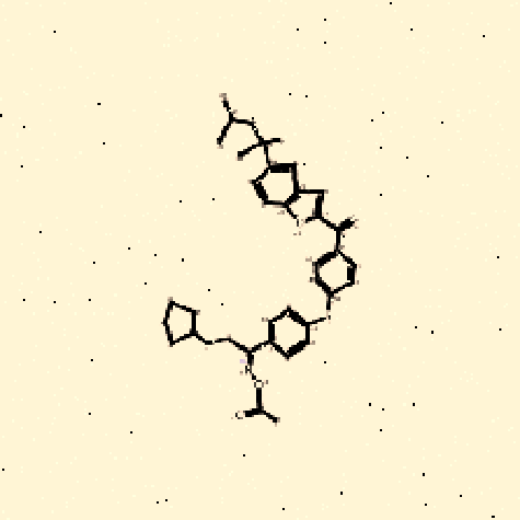 CC(=O)O/N=C(/CCC1CCCC1)c1ccc(Sc2ccc(C(=O)c3cc4cc(C(C)(C)CC(C)C)ccc4o3)cc2)cc1